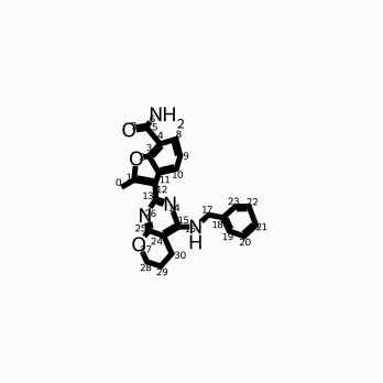 Cc1oc2c(C(N)=O)cccc2c1-c1nc(NCc2ccccc2)c2c(n1)OCCC2